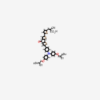 CCCCC(CC)COc1ccc(N(c2ccc(OCC(CC)CCCC)cc2)c2ccc(-c3cc4c(s3)-c3sc(-c5ccc(C=C(C#N)C(=O)O)s5)cc3C4=O)cc2)cc1